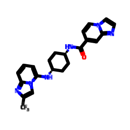 O=C(N[C@H]1CC[C@@H](Nc2cccc3nc(C(F)(F)F)cn23)CC1)c1ccn2ccnc2c1